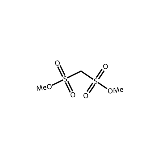 COS(=O)(=O)CS(=O)(=O)OC